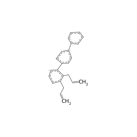 C=CCc1cc[c]c(-c2ccc(-c3ccccc3)cc2)c1CC=C